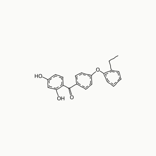 CCc1ccccc1Oc1ccc(C(=O)c2ccc(O)cc2O)cc1